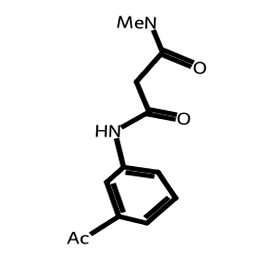 CNC(=O)CC(=O)Nc1cccc(C(C)=O)c1